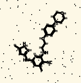 [C-]#[N+]c1c(C)cc(Nc2cc(C)[nH]n2)nc1NCCOc1ccc(N2CCOCC2)cc1